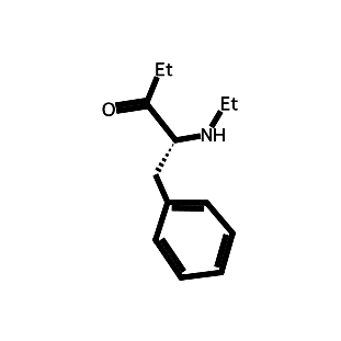 CCN[C@H](Cc1ccccc1)C(=O)CC